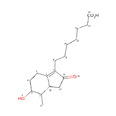 CC1C(O)CCC2=C(CCCCCCC(=O)O)C(=O)CC21